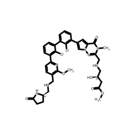 COC(=O)C[C@@H](O)CNCc1nn2cc(-c3cccc(-c4cccc(-c5ccc(CNC[C@H]6CCC(=O)N6)c(OC)n5)c4Cl)c3Cl)cc2c(=O)n1C